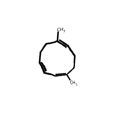 C/C1=C/C=C\CC/C(C)=C\CC1